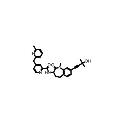 Cc1cccc(Cc2ccnc(C(=O)NC3CCc4ccc(C#CC(C)(C)O)cc4N(C)C3=O)c2)n1